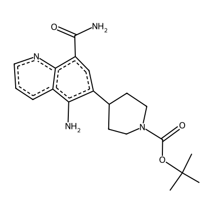 CC(C)(C)OC(=O)N1CCC(c2cc(C(N)=O)c3ncccc3c2N)CC1